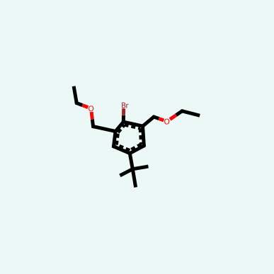 CCOCc1cc(C(C)(C)C)cc(COCC)c1Br